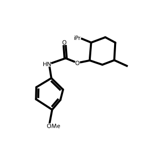 COc1ccc(NC(=O)OC2CC(C)CCC2C(C)C)cc1